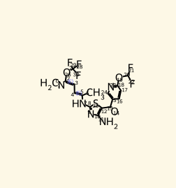 C=N/C(=C\C=C(/C)Nc1nc(N)c(C(=O)c2ccc(OC(F)F)nc2)s1)OC(F)(F)F